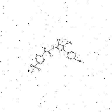 CCOC(=O)c1c(NC(=O)Nc2ccc(S(C)(=O)=O)cc2)sc(-c2ccc([N+](=O)[O-])cc2)c1C